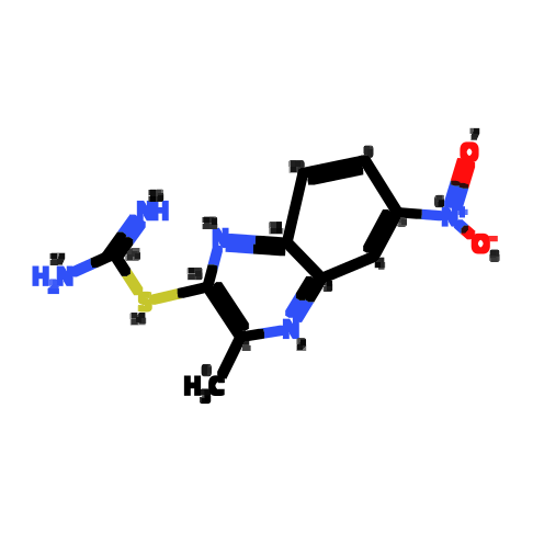 Cc1nc2cc([N+](=O)[O-])ccc2nc1SC(=N)N